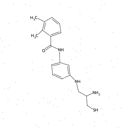 Cc1cccc(C(=O)Nc2cccc(NCC(N)CS)c2)c1C